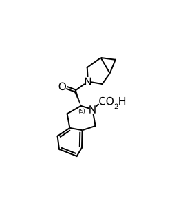 O=C([C@@H]1Cc2ccccc2CN1C(=O)O)N1CC2CC2C1